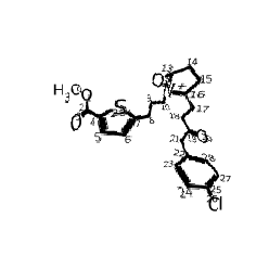 COC(=O)c1ccc(CCC[N+]23OC2CC[C@H]3CCC(=O)Cc2ccc(Cl)cc2)s1